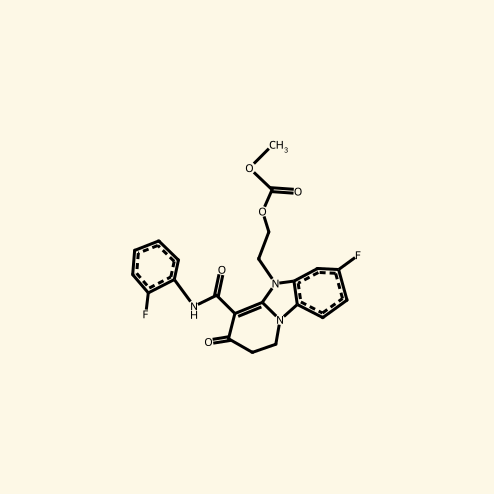 COC(=O)OCCN1C2=C(C(=O)Nc3ccccc3F)C(=O)CCN2c2ccc(F)cc21